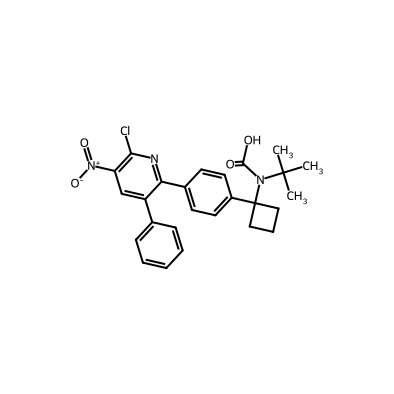 CC(C)(C)N(C(=O)O)C1(c2ccc(-c3nc(Cl)c([N+](=O)[O-])cc3-c3ccccc3)cc2)CCC1